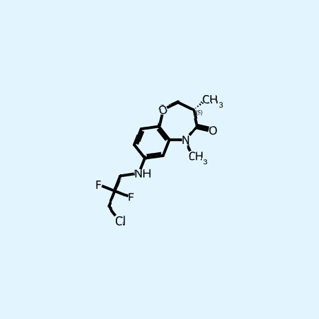 C[C@H]1COc2ccc(NCC(F)(F)CCl)cc2N(C)C1=O